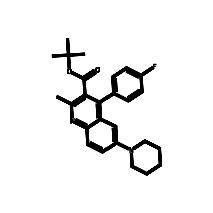 Cc1nc2ccc(N3CCCCC3)cc2c(-c2ccc(F)cc2)c1C(=O)OC(C)(C)C